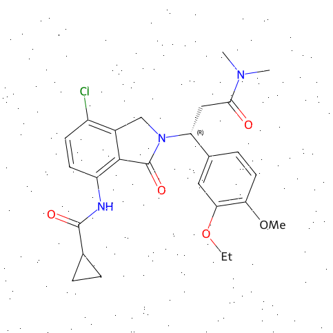 CCOc1cc([C@@H](CC(=O)N(C)C)N2Cc3c(Cl)ccc(NC(=O)C4CC4)c3C2=O)ccc1OC